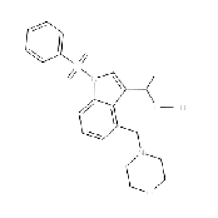 CC(OC=O)c1cn(S(=O)(=O)c2ccccc2)c2cccc(CN3CCOCC3)c12